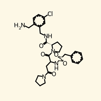 NCc1ccc(Cl)cc1CNC(=O)[C@@H]1CCCN1C(=O)C(CC(=O)N1CCCC1)NS(=O)(=O)Cc1ccccc1